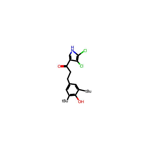 CC(C)(C)c1cc(CCC(=O)c2c[nH]c(Cl)c2Cl)cc(C(C)(C)C)c1O